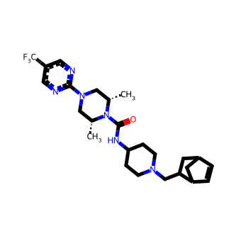 C[C@@H]1CN(c2ncc(C(F)(F)F)cn2)C[C@H](C)N1C(=O)NC1CCN(CC2CC3C=CC2C3)CC1